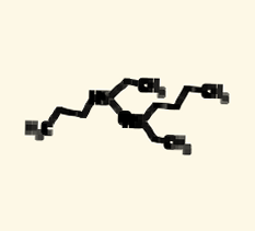 CCCC[SiH](CC)O[SiH](CC)CCCC